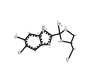 FC(F)(F)C1(c2nc3cc(Cl)c(Cl)cc3[nH]2)OCC(CCl)O1